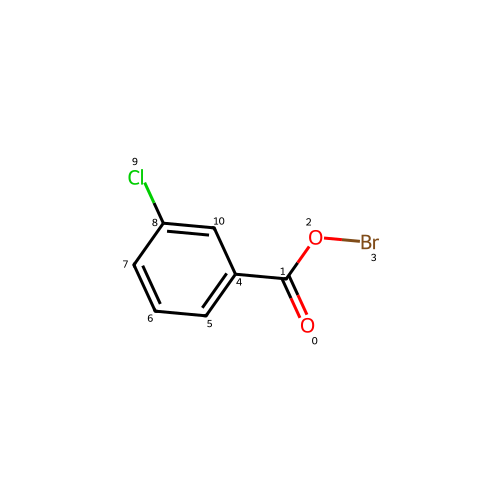 O=C(OBr)c1cccc(Cl)c1